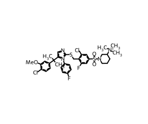 COc1cc(C(C)(C)c2cnc(SCc3c(F)cc(S(=O)(=O)N4CCCC([N+](C)(C)C)C4)cc3Cl)n2-c2ccc(F)cc2)ccc1Cl